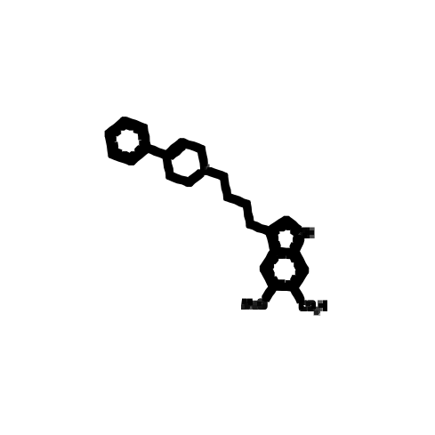 COc1cc2c(CCCCN3CC=C(c4ccccc4)CC3)c[nH]c2cc1C(=O)O